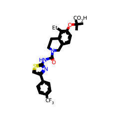 CCc1c(OC(C)(C)C(=O)O)ccc2c1CCN(C(=O)Nc1nc(-c3ccc(C(F)(F)F)cc3)cs1)C2